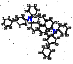 c1ccc(-c2ccc(N(c3ccccc3)c3ccc4ccc5c(N(c6ccccc6)c6ccc(-c7ccccc7)cc6)ccc6ccc3c4c65)cc2)cc1